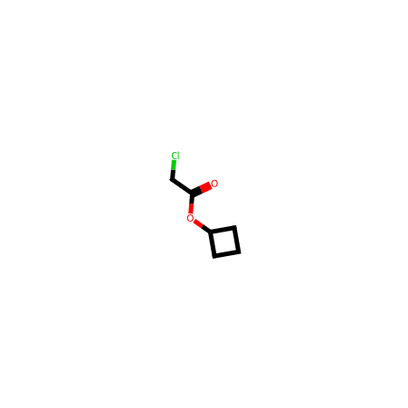 O=C([CH]Cl)OC1CCC1